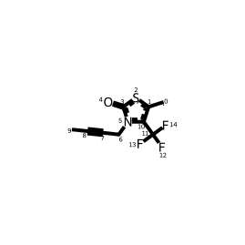 [CH2]c1sc(=O)n(CC#CC)c1C(F)(F)F